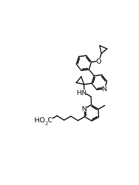 Cc1ccc(CCCCC(=O)O)nc1CNC1(c2cnccc2-c2ccccc2OC2CC2)CC1